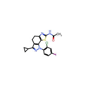 CC(=O)Nc1nc2c(s1)-c1c(c(C3CC3)nn1-c1ccc(I)cc1Cl)CC2